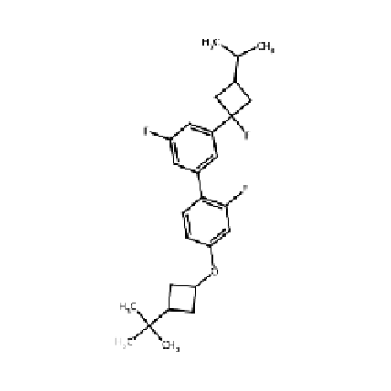 CC(C)C1CC(F)(c2cc(F)cc(-c3ccc(OC4CC(C(C)(C)C)C4)cc3F)c2)C1